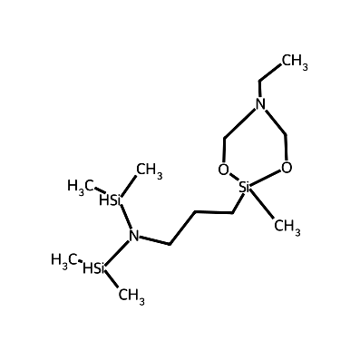 CCN1CO[Si](C)(CCCN([SiH](C)C)[SiH](C)C)OC1